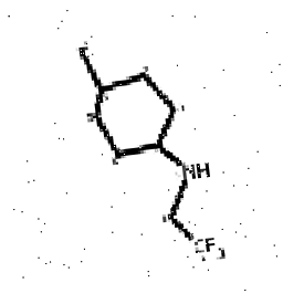 CC1CCC(NCC(F)(F)F)CC1